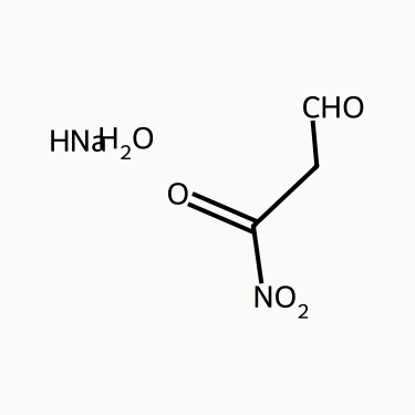 O.O=CCC(=O)[N+](=O)[O-].[NaH]